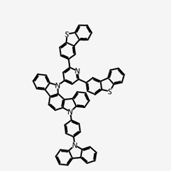 c1ccc2c(c1)sc1ccc(-c3cc(-n4c5ccccc5c5ccc6c(c7ccccc7n6-c6ccc(-n7c8ccccc8c8ccccc87)cc6)c54)cc(-c4ccc5sc6ccccc6c5c4)n3)cc12